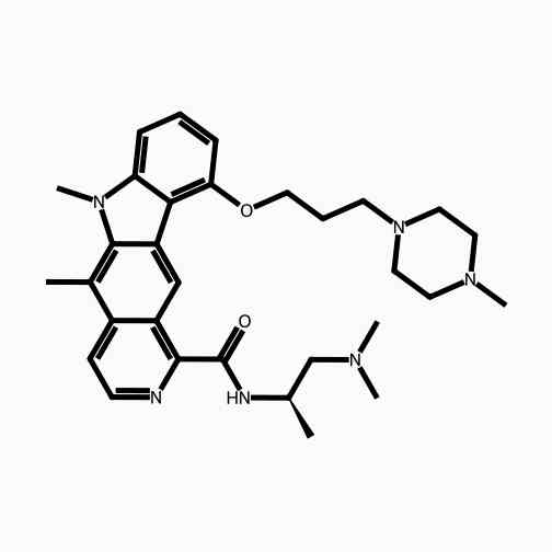 Cc1c2ccnc(C(=O)N[C@H](C)CN(C)C)c2cc2c3c(OCCCN4CCN(C)CC4)cccc3n(C)c12